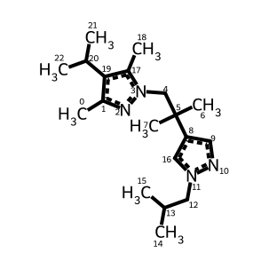 Cc1nn(CC(C)(C)c2cnn(CC(C)C)c2)c(C)c1C(C)C